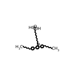 CCCCCCCc1ccc(-c2ccc(-c3ccc(CCCCCCC)cc3)c(OCCCCCCCCCCCP(=O)(O)O)c2)cc1